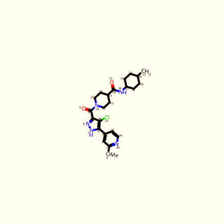 COc1cc(-c2[nH]nc(C(=O)N3CCC(C(=O)NC4CCC(C)CC4)CC3)c2Cl)ccn1